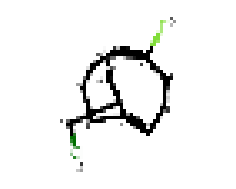 F/C1=C2/CCC/C(=C/CC1)C(CCl)CC2